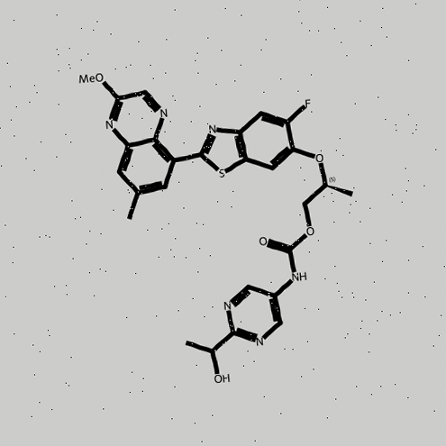 COc1cnc2c(-c3nc4cc(F)c(O[C@@H](C)COC(=O)Nc5cnc(C(C)O)nc5)cc4s3)cc(C)cc2n1